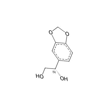 OC[C@@H](O)c1ccc2c(c1)OCO2